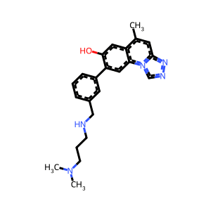 Cc1cc2nncn2c2cc(-c3cccc(CNCCCN(C)C)c3)c(O)cc12